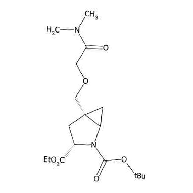 CCOC(=O)[C@@H]1C[C@@]2(COCC(=O)N(C)C)CC2N1C(=O)OC(C)(C)C